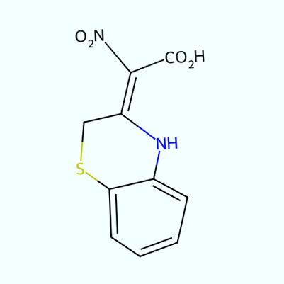 O=C(O)C(=C1CSc2ccccc2N1)[N+](=O)[O-]